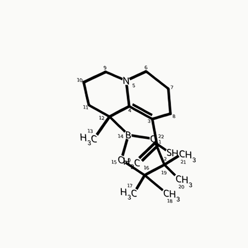 C=C(S)C1=C2N(CCC1)CCCC2(C)B1OC(C)(C)C(C)(C)O1